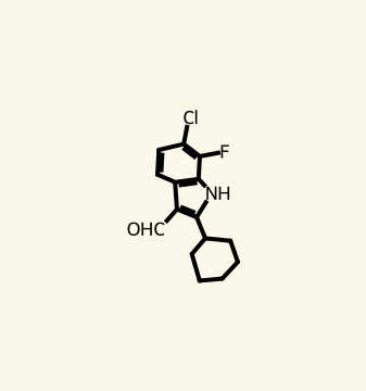 O=Cc1c(C2CCCCC2)[nH]c2c(F)c(Cl)ccc12